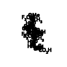 COC(=O)c1cc(C(O)C(F)(F)F)nn1C.CO[C@@H](c1cc(C(=O)Nc2cc([C@H]3C[C@@H](OC(=O)NC4(C)CC4)CO3)[nH]n2)n(C)n1)C(F)(F)F.CO[C@H](c1cc(C(=O)Nc2cc([C@H]3C[C@@H](N(C(=O)O)C4(C)CC4)CO3)[nH]n2)n(C)n1)C(F)(F)F